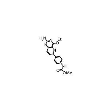 CCOc1nc(N)nc2ccc(-c3ccc(NC(=O)OC)cc3)nc12